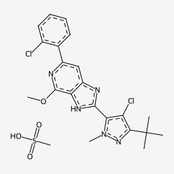 COc1nc(-c2ccccc2Cl)cc2nc(-c3c(Cl)c(C(C)(C)C)nn3C)[nH]c12.CS(=O)(=O)O